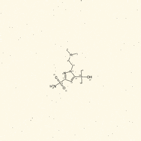 CN(C)CCn1nc(S(N)(=O)=O)cc1C(C)(C)O